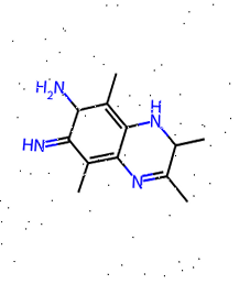 CC1=NC2=C(C)C(=N)C(N)C(C)=C2NC1C